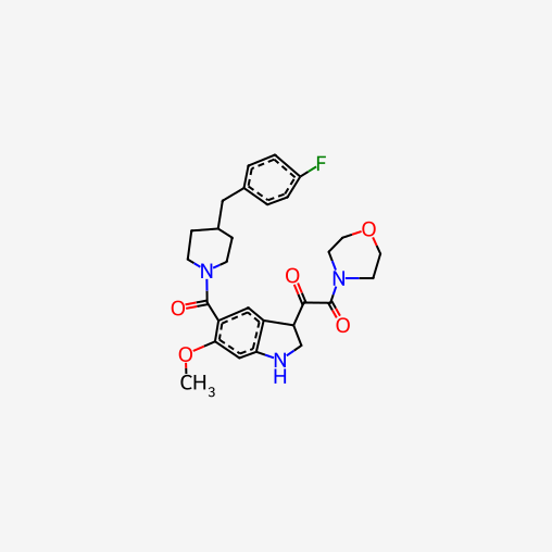 COc1cc2c(cc1C(=O)N1CCC(Cc3ccc(F)cc3)CC1)C(C(=O)C(=O)N1CCOCC1)CN2